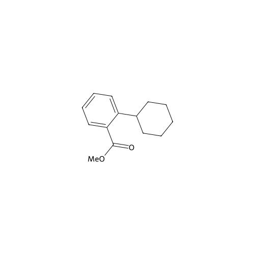 COC(=O)c1ccccc1C1CCCCC1